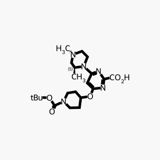 C[C@H]1CN(C)CCN1c1cc(OC2CCN(C(=O)OC(C)(C)C)CC2)nc(C(=O)O)n1